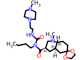 CCCCN(C(=O)NCCN1CCN(C)CC1)C(=O)[C@@H]1C[C@@H]2CC3(CC[C@H]2N(C)C1)OCCO3